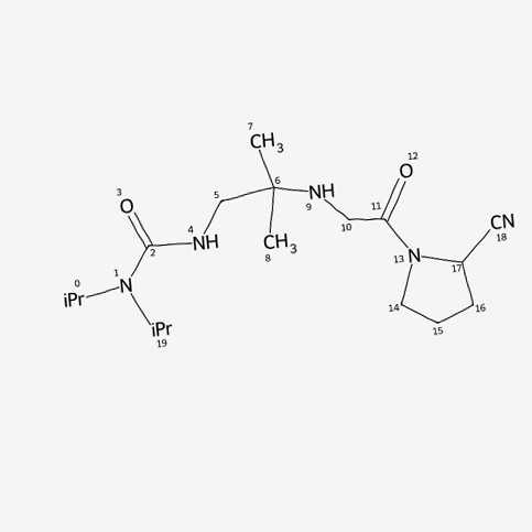 CC(C)N(C(=O)NCC(C)(C)NCC(=O)N1CCCC1C#N)C(C)C